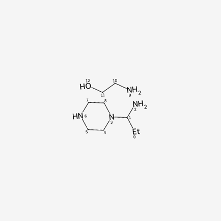 CCC(N)N1CCNCC1.NCCO